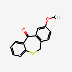 COc1ccc2c(c1)C(=O)c1ccccc1SC2